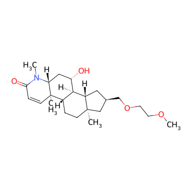 COCCOC[C@@H]1C[C@H]2[C@@H]3[C@@H](O)C[C@H]4N(C)C(=O)C=C[C@]4(C)[C@H]3CC[C@]2(C)C1